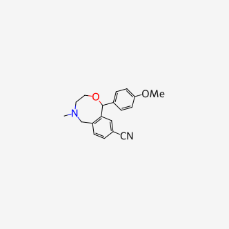 COc1ccc(C2OCCN(C)Cc3ccc(C#N)cc32)cc1